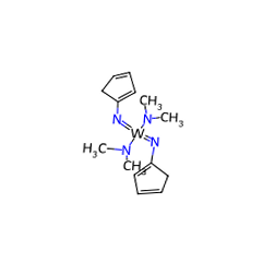 C[N](C)[W](=[N]C1=CC=CC1)(=[N]C1=CC=CC1)[N](C)C